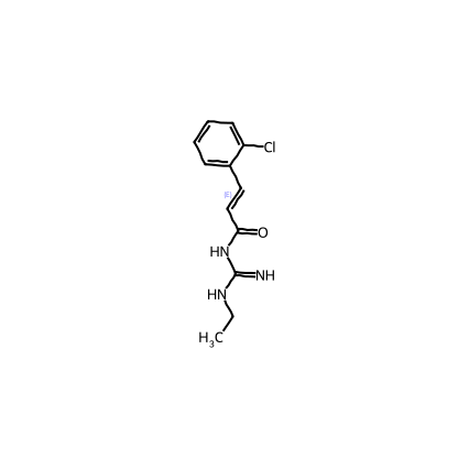 CCNC(=N)NC(=O)/C=C/c1ccccc1Cl